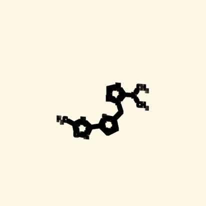 CN(C)c1ncnn1Cc1ccc(-c2noc(C(F)(F)F)n2)s1